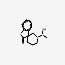 CB(O)N1CCCC2(C1)C(=O)Nc1ccccc12